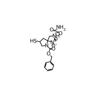 NS(=O)(=O)NCC1([N+](=O)[O-])CC(S)CN1C(=O)OCc1ccccc1